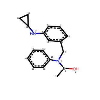 CB(O)N(Cc1cccc(NC2CC2)c1)c1ccccc1